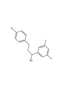 [CH2]CC(CCc1ccc(F)cc1)c1cc(C)cc(C)c1